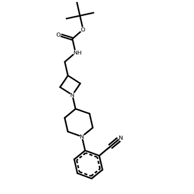 CC(C)(C)OC(=O)NCC1CN(C2CCN(c3ccccc3C#N)CC2)C1